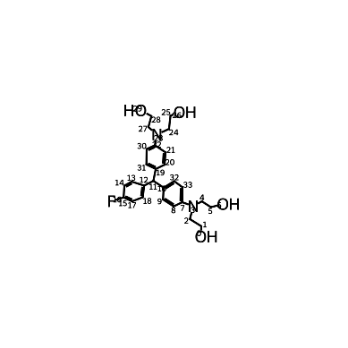 OCCN(CCO)c1ccc(C(c2ccc(F)cc2)c2ccc(N(CCO)CCO)cc2)cc1